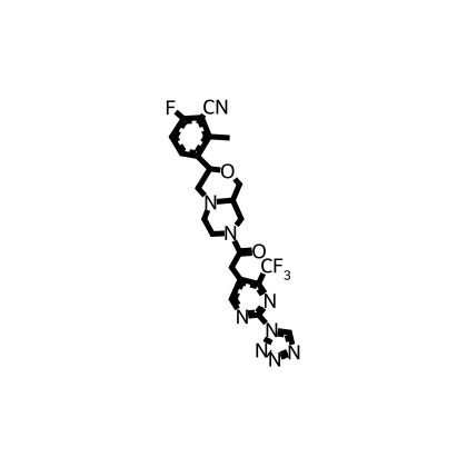 Cc1c(C2CN3CCN(C(=O)Cc4cnc(-n5cnnn5)nc4C(F)(F)F)CC3CO2)ccc(F)c1C#N